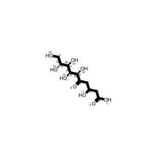 O=C(O)CC(O)CC(=O)[C@H](O)[C@@H](O)[C@H](O)[C@H](O)CO